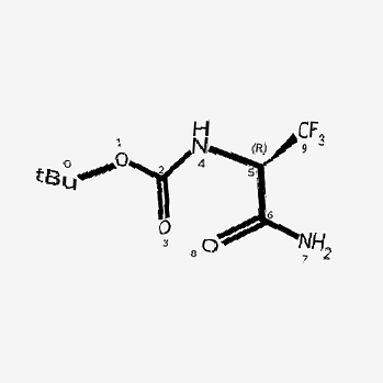 CC(C)(C)OC(=O)N[C@H](C(N)=O)C(F)(F)F